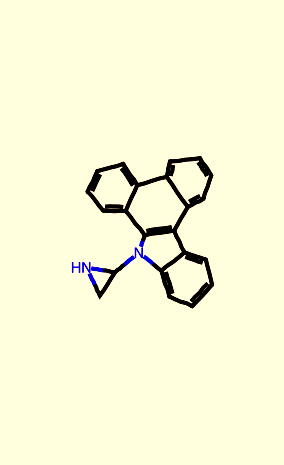 c1ccc2c(c1)c1ccccc1c1c2c2ccccc2n1C1CN1